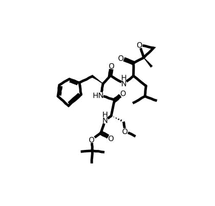 COC[C@H](NC(=O)OC(C)(C)C)C(=O)N[C@@H](Cc1ccccc1)C(=O)NC(CC(C)C)C(=O)[C@@]1(C)CO1